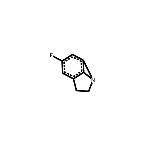 Fc1cc2c3c(c1)N3CC2